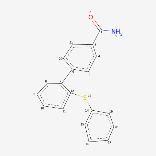 NC(=O)c1ccc(-c2ccccc2Sc2ccccc2)cc1